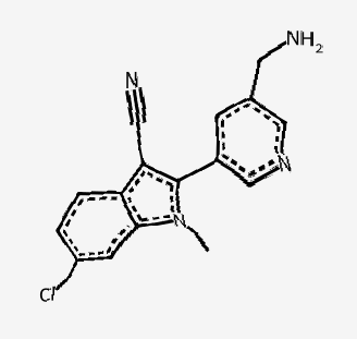 Cn1c(-c2cncc(CN)c2)c(C#N)c2ccc(Cl)cc21